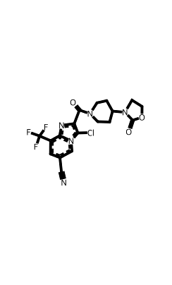 N#Cc1cc(C(F)(F)F)c2nc(C(=O)N3CCC(N4CCOC4=O)CC3)c(Cl)n2c1